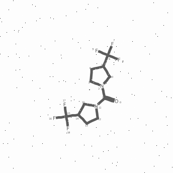 O=C(N1CCC(C(F)(F)F)C1)N1CCC(C(F)(F)F)C1